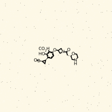 O=B[C@@H]1C[C@@H]1c1ccc(OC2CN(C(=O)C[C@H]3CNCCO3)C2)c(C(=O)O)c1O